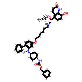 CC(C)(C)[Si](C)(C)O[C@@H](CNCCCCCCOc1ccc(-c2ccccc2)c(N(C(=O)O)[C@H]2CC[C@H](NC(=O)OCc3ccccc3)CC2)c1)c1ccc(O)c2[nH]c(=O)ccc12